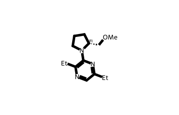 CCc1cnc(CC)c(N2CCC[C@@H]2COC)n1